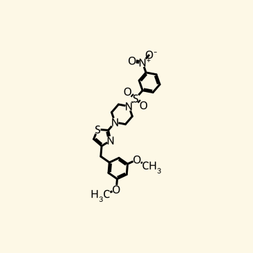 COc1cc(Cc2csc(N3CCN(S(=O)(=O)c4cccc([N+](=O)[O-])c4)CC3)n2)cc(OC)c1